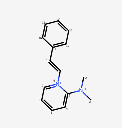 CN(C)c1cccc[n+]1C=Cc1ccccc1